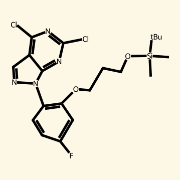 CC(C)(C)[Si](C)(C)OCCCOc1cc(F)ccc1-n1ncc2c(Cl)nc(Cl)nc21